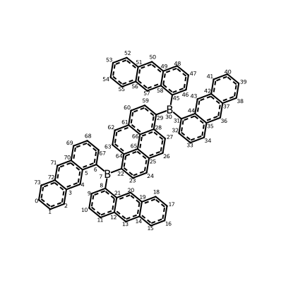 c1ccc2cc3c(B(c4cccc5cc6ccccc6cc45)c4ccc5ccc6c(B(c7cccc8cc9ccccc9cc78)c7cccc8cc9ccccc9cc78)ccc7ccc4c5c76)cccc3cc2c1